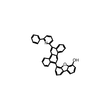 Oc1cccc2c1oc1c(-c3cc4c5ccccc5c(-c5cccc(-c6ccccc6)n5)cc4c4ccccc34)cccc12